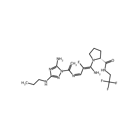 C=C(/N=C\C(F)=C(/N)N1CCC[C@@H]1C(=O)NCC(F)(F)F)n1nc(NCCC)nc1N